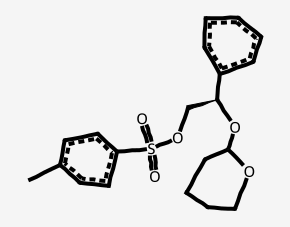 Cc1ccc(S(=O)(=O)OC[C@H](OC2CCCCO2)c2ccccc2)cc1